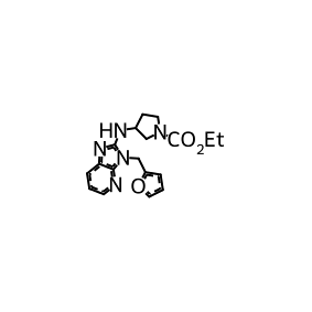 CCOC(=O)N1CCC(Nc2nc3cccnc3n2Cc2ccco2)C1